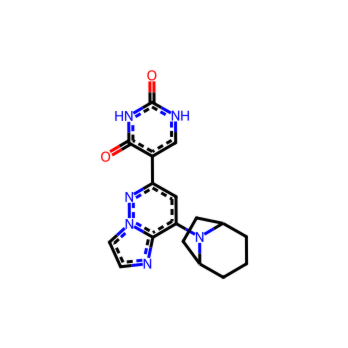 O=c1[nH]cc(-c2cc(N3C4CCCC3CC4)c3nccn3n2)c(=O)[nH]1